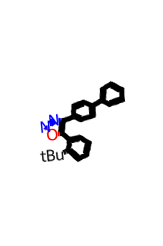 CC(C)(C)c1ccccc1-c1onnc1-c1ccc(-c2ccccc2)cc1